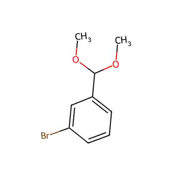 COC(OC)c1cccc(Br)c1